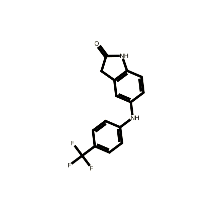 O=C1Cc2cc(Nc3ccc(C(F)(F)F)cc3)ccc2N1